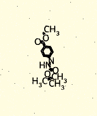 CCOC(=O)C1CCC(=NNC(=O)OC(C)(C)C)CC1